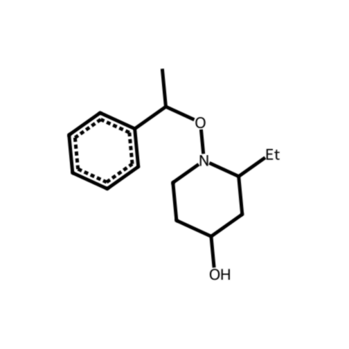 CCC1CC(O)CCN1OC(C)c1ccccc1